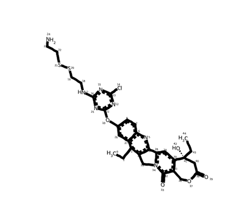 CCc1c2c(nc3ccc(Oc4nc(Cl)nc(NCCSSCCN)n4)cc13)-c1cc3c(c(=O)n1C2)COC(=O)C[C@]3(O)CC